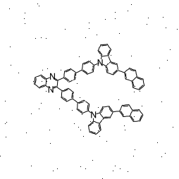 c1ccc2cc(-c3ccc4c(c3)c3ccccc3n4-c3ccc(-c4ccc(-c5nc6ccccc6nc5-c5ccc(-c6ccc(-n7c8ccccc8c8cc(-c9ccc%10ccccc%10c9)ccc87)cc6)cc5)cc4)cc3)ccc2c1